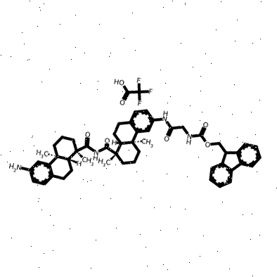 C[C@]1(C(=O)NC(=O)[C@@]2(C)CCC[C@]3(C)c4cc(NC(=O)CNC(=O)OCC5c6ccccc6-c6ccccc65)ccc4CC[C@@H]23)CCC[C@]2(C)c3cc(N)ccc3CC[C@@H]12.O=C(O)C(F)(F)F